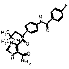 CC(C)(C)CN(C(=O)c1nc[nH]c1C(N)=O)c1ccc(NC(=O)c2ccc(F)cc2)cc1